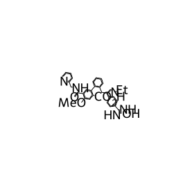 CCn1cc(Cc2ccccc2-c2cc(C(=O)NCc3ccccn3)c(OC)cc2C(=O)O)c2ccc(C(=N)NO)cc21